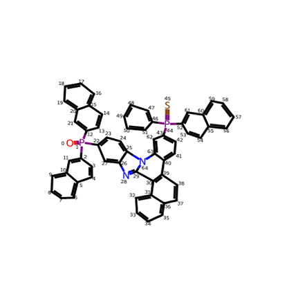 O=P(c1ccc2ccccc2c1)(c1ccc2ccccc2c1)c1ccc2c(c1)nc1c3c4ccccc4ccc3c3ccc(P(=S)(c4ccccc4)c4ccc5ccccc5c4)cc3n21